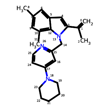 C=C(C)c1cc2cc(C)cc(C)c2n1Cc1cc(N2CCCCC2)ccn1